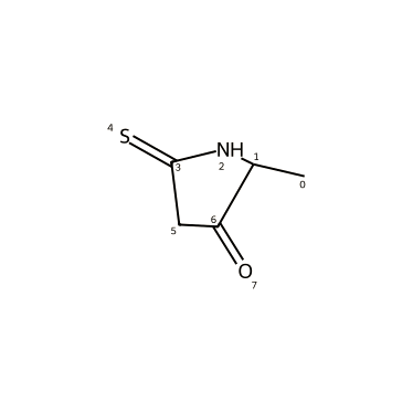 CC1NC(=S)CC1=O